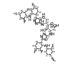 C#Cc1ccc(Nc2c(-c3nnc(NC(CO)C(O)C(O)C(CO)Nc4nnc(-c5ccc(F)c(F)c5Nc5ccc(I)cc5F)o4)o3)ccc(F)c2F)c(F)c1